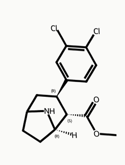 COC(=O)[C@@H]1[C@H]2CCC(C[C@H]1c1ccc(Cl)c(Cl)c1)N2